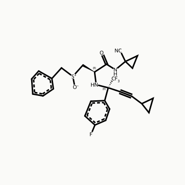 N#CC1(NC(=O)[C@H](C[S+]([O-])Cc2ccccc2)N[C@@](C#CC2CC2)(c2ccc(F)cc2)C(F)(F)F)CC1